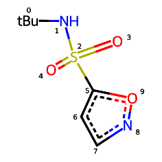 CC(C)(C)NS(=O)(=O)c1ccno1